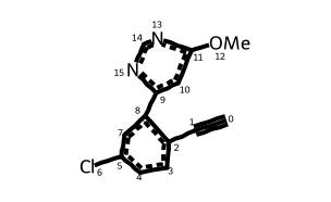 C#Cc1ccc(Cl)cc1-c1cc(OC)ncn1